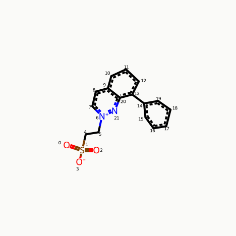 O=S(=O)([O-])CC[n+]1ccc2cccc(-c3ccccc3)c2n1